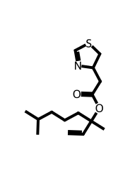 C=CC(C)(CCCC(C)C)OC(=O)CC1CSC=N1